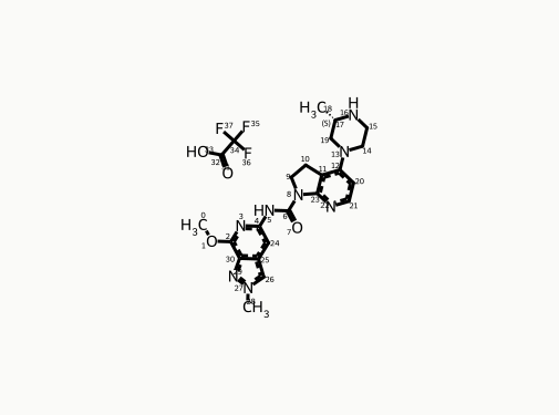 COc1nc(NC(=O)N2CCc3c(N4CCN[C@@H](C)C4)ccnc32)cc2cn(C)nc12.O=C(O)C(F)(F)F